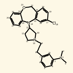 CN(C)c1cccc(CCN2CCC(N3c4cc(Cl)ccc4COc4ccccc43)C2)c1